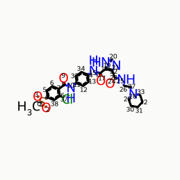 CS(=O)(=O)c1ccc(C(=O)Nc2ccc(NC(=O)c3[nH]cnc3C(=O)NCCN3CCCCC3)cc2)c(Cl)c1